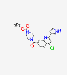 CCCOC(=O)N1CCN(C(=O)c2ccc3c(Cl)cc(-c4cc[nH]c4)nc3c2)CC1